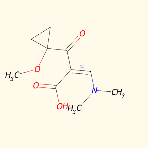 COC1(C(=O)/C(=C/N(C)C)C(=O)O)CC1